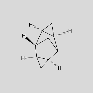 C1C2[C@H]3C[C@H]3[C@@H]1[C@H]1C[C@@H]21